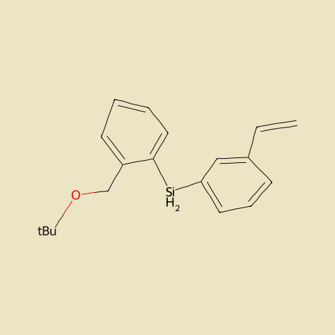 C=Cc1cccc([SiH2]c2ccccc2COC(C)(C)C)c1